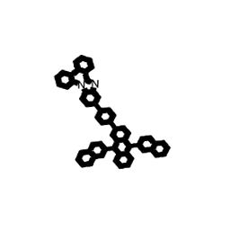 c1ccc2cc(-c3c4ccccc4c(-c4ccc5ccccc5c4)c4cc(-c5ccc(-c6ccc7c(c6)nc6c8ccccc8c8ccccc8n76)cc5)ccc34)ccc2c1